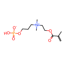 C=C(C)C(=O)OCC[N+](C)(C)CCCOP(=O)([O-])O